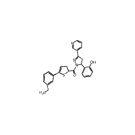 NCc1cccc(C2=CCC(C(=O)N3N=C(c4cccnc4)CC3c3ccccc3O)S2)c1